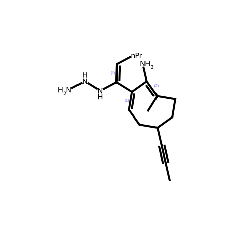 CC#CC1C/C=C(C(=C\CCC)/NNN)\C(N)=C(/C)CC1